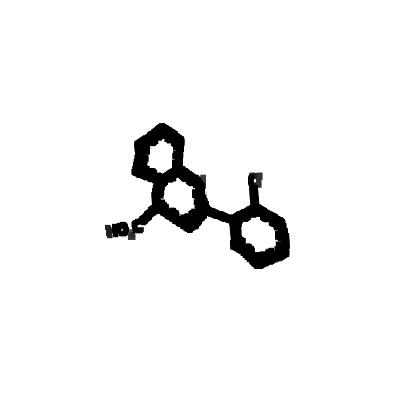 O=C(O)c1cc(-c2ccccc2Cl)nc2ccccc12